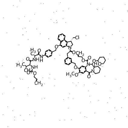 C=CCOC(=O)N[C@H](C(=O)N[C@@H](C)C(=O)Nc1ccc(COc2cc3c(c4ccccc24)[C@H](CCl)CN3C(=O)Cc2cccc(COc3cc4c(cc3OC)C(=O)N3CCCC[C@H]3C(OC3CCCCO3)N4C(=O)OCC=C)c2)cc1)C(C)C